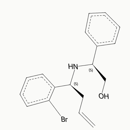 C=CC[C@H](N[C@H](CO)c1ccccc1)c1ccccc1Br